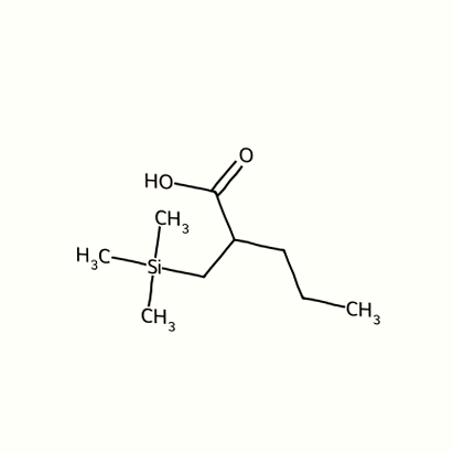 CCCC(C[Si](C)(C)C)C(=O)O